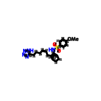 COc1ccc(S(=O)(=O)NC2C3CCC(C3)C2C/C=C\CCCc2nnn[nH]2)cc1